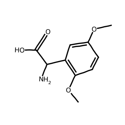 COc1ccc(OC)c(C(N)C(=O)O)c1